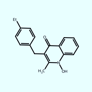 CCc1ccc(Cc2c(C)n(O)c3ccccc3c2=O)cc1